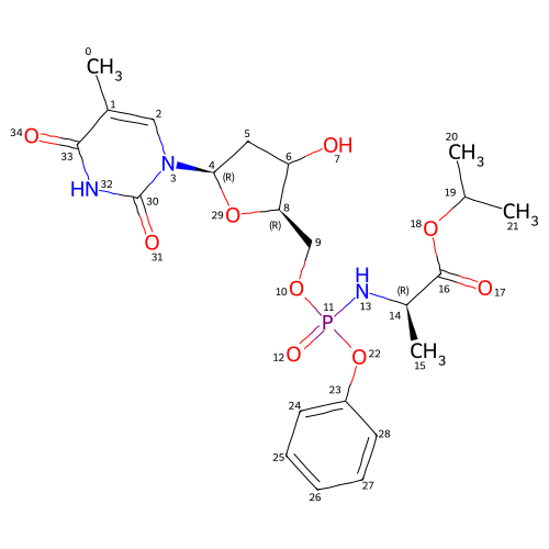 Cc1cn([C@H]2CC(O)[C@@H](COP(=O)(N[C@H](C)C(=O)OC(C)C)Oc3ccccc3)O2)c(=O)[nH]c1=O